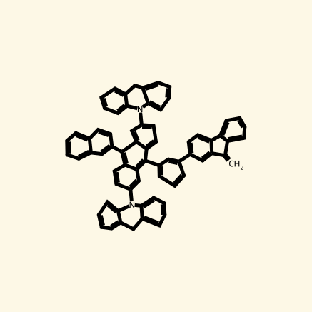 C=C1c2ccccc2-c2ccc(-c3cccc(-c4c5ccc(N6c7ccccc7Cc7ccccc76)cc5c(-c5ccc6ccccc6c5)c5ccc(N6c7ccccc7Cc7ccccc76)cc45)c3)cc21